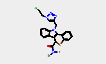 CCN(CC)C(=O)C1Sc2ccccc2-c2c1c1ccccc1n2Cc1cn(CC[18F])nn1